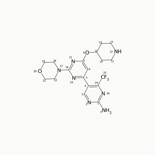 Nc1ncc(-c2cc(OC3CCNCC3)nc(N3CCOCC3)n2)c(C(F)(F)F)n1